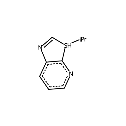 CC(C)[SH]1C=Nc2cccnc21